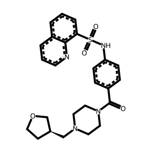 O=C(c1ccc(NS(=O)(=O)c2cccc3cccnc23)cc1)N1CCN(C[C@H]2CCOC2)CC1